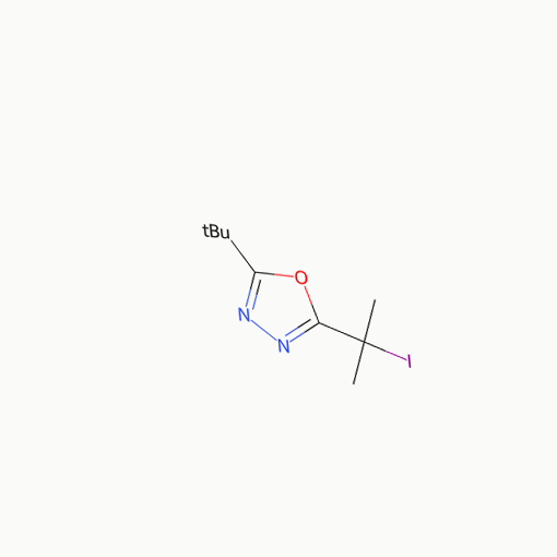 CC(C)(C)c1nnc(C(C)(C)I)o1